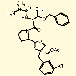 CC(=O)OC[C@@]1(Cc2cccc(Cl)c2)COC(C2CCCN2C(=O)C(NC(=O)N(C)N)C(C)OCc2ccccc2)=N1